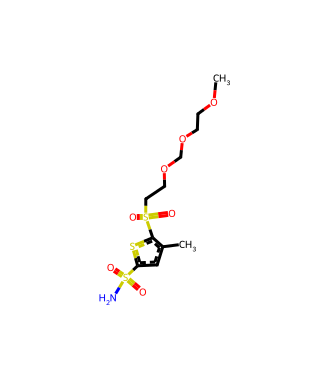 COCCOCOCCS(=O)(=O)c1sc(S(N)(=O)=O)cc1C